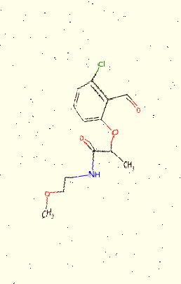 COCCNC(=O)C(C)Oc1cccc(Cl)c1C=O